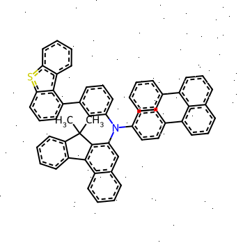 CC1(C)c2ccccc2-c2c1c(N(c1ccc(-c3cccc4cccc(-c5ccccc5)c34)cc1)c1cccc(-c3cccc4sc5ccccc5c34)c1)cc1ccccc21